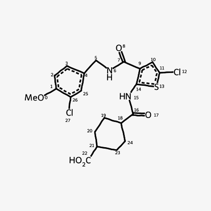 COc1ccc(CNC(=O)c2cc(Cl)sc2NC(=O)C2CCC(C(=O)O)CC2)cc1Cl